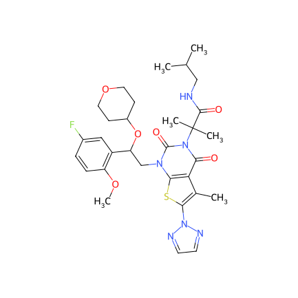 COc1ccc(F)cc1C(Cn1c(=O)n(C(C)(C)C(=O)NCC(C)C)c(=O)c2c(C)c(-n3nccn3)sc21)OC1CCOCC1